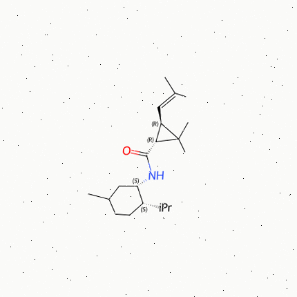 CC(C)=C[C@@H]1[C@@H](C(=O)N[C@H]2CC(C)CC[C@H]2C(C)C)C1(C)C